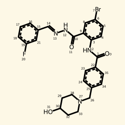 O=C(Nc1ccc(Br)cc1C(=O)NN=Cc1cccc(F)c1)c1ccc(CN2CCC(O)CC2)cc1